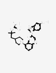 CC(C)(CC1CCN(c2cccc3ncc(-n4cnc5cc(O)ccc54)nc23)CC1)OC(N)=O